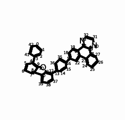 c1ccc(-c2cccc3c2oc2c(-c4ccc(-c5ccc6c(c5)c5ccccc5c5nccnc65)cc4)cccc23)cc1